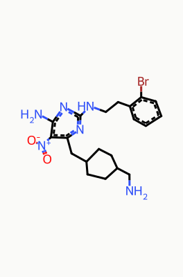 NCC1CCC(Cc2nc(NCCc3ccccc3Br)nc(N)c2[N+](=O)[O-])CC1